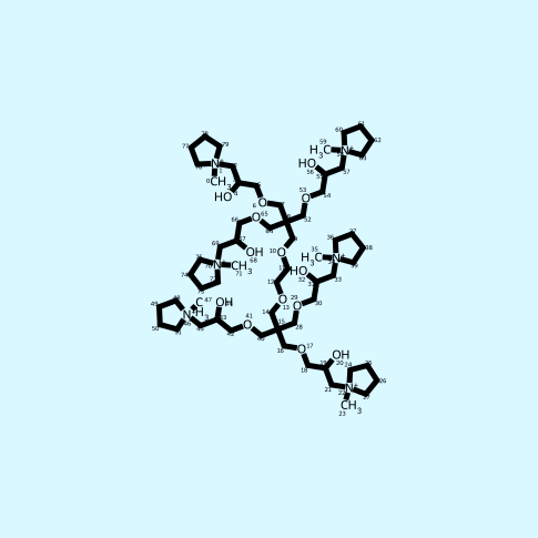 C[N+]1(CC(O)COCC(COCCOCC(COCC(O)C[N+]2(C)CCCC2)(COCC(O)C[N+]2(C)CCCC2)COCC(O)C[N+]2(C)CCCC2)(COCC(O)C[N+]2(C)CCCC2)COCC(O)C[N+]2(C)CCCC2)CCCC1